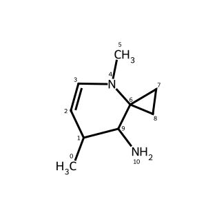 CC1C=CN(C)C2(CC2)C1N